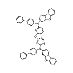 c1ccc(-c2ccc(N(c3ccc4c(c3)oc3ccccc34)c3ccc4c(n3)oc3nc(N(c5ccc(-c6ccccc6)cc5)c5ccc6c(c5)oc5ccccc56)ncc34)cc2)cc1